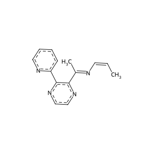 C/C=C\N=C(/C)c1nccnc1-c1ccccn1